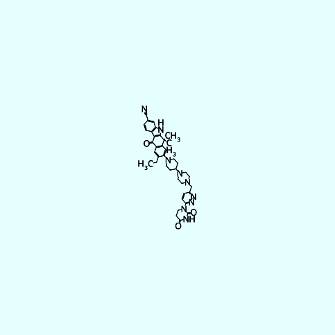 CCc1cc2c(cc1N1CCC(N3CCN(Cc4ccc(N5CCC(=O)NC5=O)nn4)CC3)CC1)C(C)(C)c1[nH]c3cc(C#N)ccc3c1C2=O